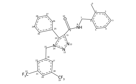 Cc1ccccc1CNC(=O)c1nnn(Cc2cc(C(F)(F)F)cc(C(F)(F)F)c2)c1-c1ccccc1